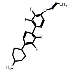 C/C=C/Oc1ccc(-c2ccc(C3CCC(C)CC3)c(F)c2F)c(F)c1F